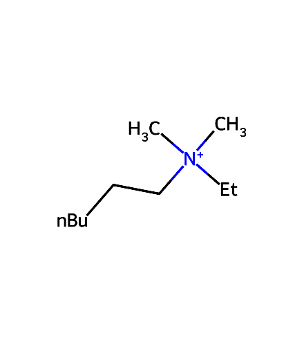 CCCCCC[N+](C)(C)CC